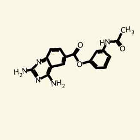 CC(=O)Nc1cccc(OC(=O)c2ccc3nc(N)nc(N)c3c2)c1